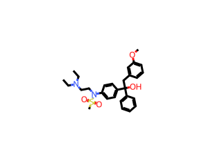 CCN(CC)CCN(c1ccc(C(O)(Cc2cccc(OC)c2)c2ccccc2)cc1)S(C)(=O)=O